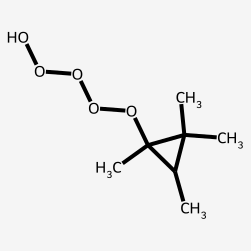 CC1C(C)(C)C1(C)OOOOO